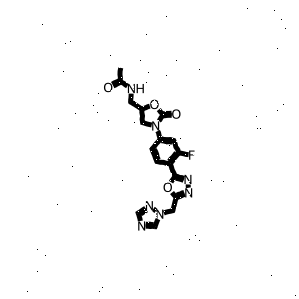 CC(=O)NCC1CN(c2ccc(-c3nnc(Cn4cncn4)o3)c(F)c2)C(=O)O1